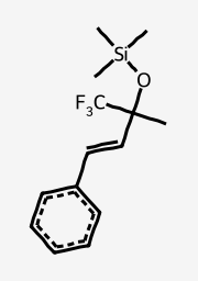 CC(/C=C/c1ccccc1)(O[Si](C)(C)C)C(F)(F)F